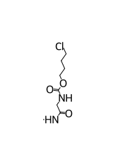 [NH]C(=O)CNC(=O)OCCCCCl